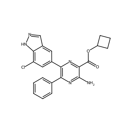 Nc1nc(-c2ccccc2)c(-c2cc(Cl)c3[nH]ncc3c2)nc1C(=O)OC1CCC1